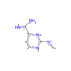 C=[N+]c1nccc(C(=N)N)n1